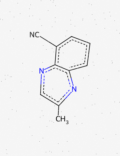 Cc1cnc2c(C#N)cccc2n1